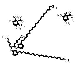 CCCCCCCCCCCCCCCCCCCCCCc1cccc(N=C(CCCCC)C(CCCCCC)=Nc2cccc(CCCCCCCCCCCCCCCCCCCCCC)c2)c1.Cc1cc(O)c(O)c(C(=O)[O-])c1C.Cc1cc(O)c(O)c(C(=O)[O-])c1C.[Pd+2]